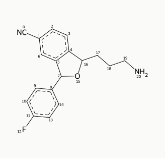 N#Cc1ccc2c(c1)C(c1ccc(F)cc1)OC2CCCN